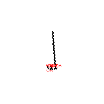 C=C(C)C(=O)O.C=C(C)C(=O)O.CCCCCCCCCCCCCCCCCCCCCC.OCCO